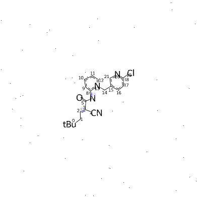 CC(C)(C)C/C=C(\C#N)C(=O)/N=c1\ccccn1Cc1ccc(Cl)nc1